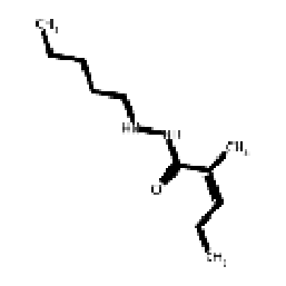 CCC=C(C)C(=O)NNCCCCC